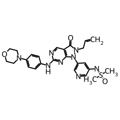 C=CCn1c(=O)c2cnc(Nc3ccc(N4CCOCC4)cc3)nc2n1-c1cncc(N=S(C)(C)=O)c1